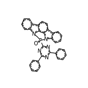 O=P1(c2nc(-c3ccccc3)nc(-c3ccccc3)n2)n2c3ccccc3c3ccc4c5ccccc5n1c4c32